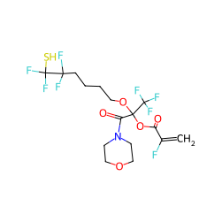 C=C(F)C(=O)OC(OCCCCC(F)(F)C(F)(F)S)(C(=O)N1CCOCC1)C(F)(F)F